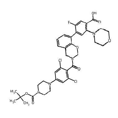 CC(C)(C)OC(=O)N1CCN(c2cc(Cl)c(C(=O)N3COc4c(cccc4-c4cc(N5CCOCC5)c(C(=O)O)cc4F)C3)c(Cl)c2)CC1